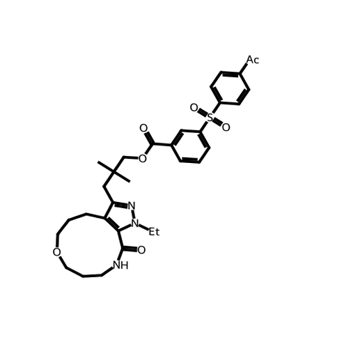 CCn1nc(CC(C)(C)COC(=O)c2cccc(S(=O)(=O)c3ccc(C(C)=O)cc3)c2)c2c1C(=O)NCCCOCCC2